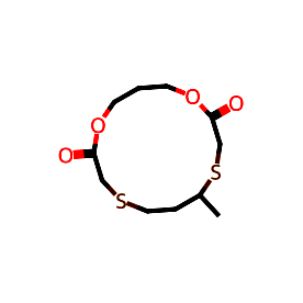 CC1CCSCC(=O)OCCCOC(=O)CS1